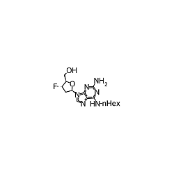 CCCCCCNc1nc(N)nc2c1ncn2[C@H]1C[C@H](F)[C@@H](CO)O1